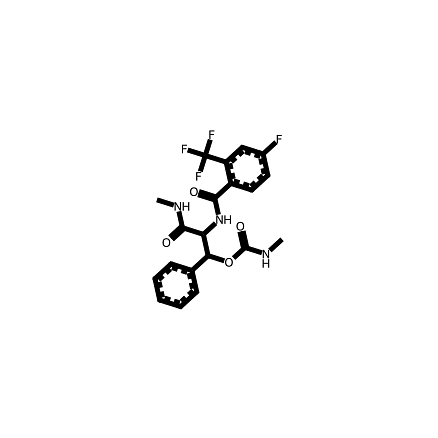 CNC(=O)OC(c1ccccc1)C(NC(=O)c1ccc(F)cc1C(F)(F)F)C(=O)NC